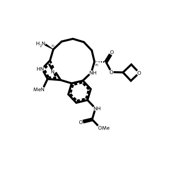 CNc1[nH]c2nc1-c1ccc(NC(=O)OC)cc1N[C@@H](C(=O)OC1COC1)CCCC[C@@H]2N